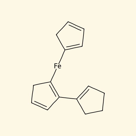 C1=CC[C]([Fe][C]2=C(C3=CCCC3)C=CC2)=C1